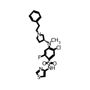 CN(c1cc(F)c(S(=O)(=O)Nc2cscn2)cc1Cl)[C@H]1CCN(CCc2ccccc2)C1